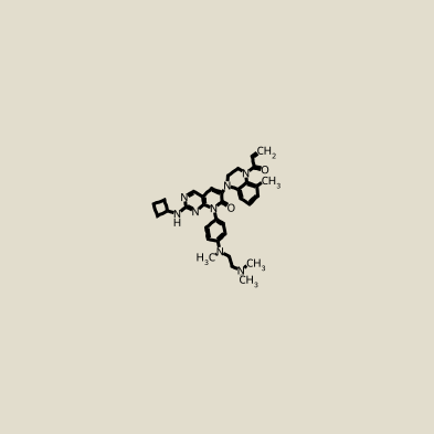 C=CC(=O)N1CCN(c2cc3cnc(NC4CCC4)nc3n(-c3ccc(N(C)CCN(C)C)cc3)c2=O)c2cccc(C)c21